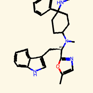 CNC1(c2ccccc2)CCC(N(C)[C@H](Cc2c[nH]c3ccccc23)c2ncc(C)o2)CC1